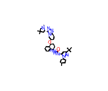 Cc1ccc(-n2nc(C(C)(C)C)cc2NC(=O)N[C@H]2CC[C@@H](Oc3ccc4nnc([C@@H]5CC(C)(C)CN5C)n4c3)c3ccccc32)cc1